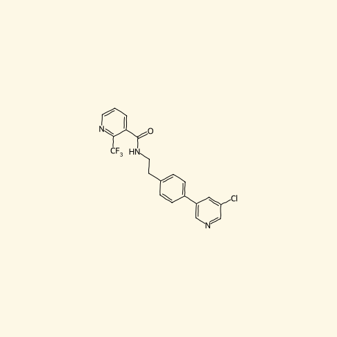 O=C(NCCc1ccc(-c2cncc(Cl)c2)cc1)c1cccnc1C(F)(F)F